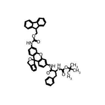 CC(C)(C)OC(=O)NC(Cc1ccccc1)C(=O)Nc1ccc2c(c1)Oc1cc(NC(=O)OCC3c4ccccc4-c4ccccc43)ccc1C21OCc2ccccc21